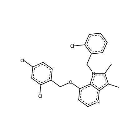 Cc1c(C)n(Cc2ccccc2Cl)c2c(OCc3ccc(Cl)cc3Cl)ccnc12